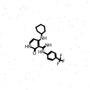 N=C(Nc1ccc(C(F)(F)F)cc1)c1c(NC2CCCCC2)cc[nH]c1=O